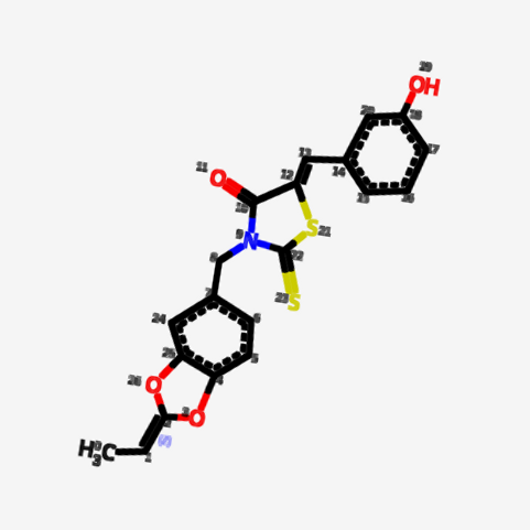 C/C=C1/Oc2ccc(CN3C(=O)C(=Cc4cccc(O)c4)SC3=S)cc2O1